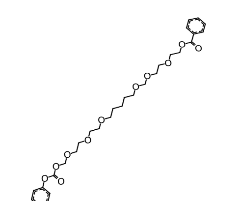 O=C(OCOCCOCCOCCCCCOCOCCOCCOC(=O)c1ccccc1)Oc1ccccc1